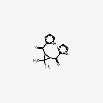 CC1(C)C(C(=O)c2ncc[nH]2)C1C(=O)c1ncc[nH]1